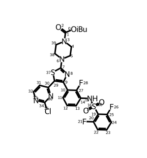 CC(C)COC(=O)N1CCN(c2nc(-c3cccc(NS(=O)(=O)c4c(F)cccc4F)c3F)c(-c3ccnc(Cl)n3)s2)CC1